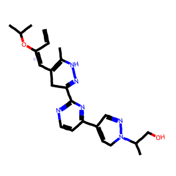 C=C/C(=C\C1=C(C)NN=C(c2nccc(C3=CCN(C(C)CO)N=C3)n2)C1)OC(C)C